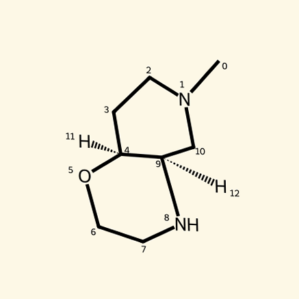 CN1CC[C@@H]2OCCN[C@@H]2C1